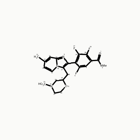 CNC(=O)c1cc(F)c(-c2nc3cc(C)ccn3c2CC2CN(C(=O)O)CCO2)c(F)c1F